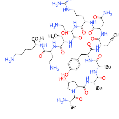 C#CC[C@H](NC(=O)[C@H](Cc1ccc(O)cc1)NC(=O)[C@@H](NC(=O)[C@@H](NC(=O)[C@@H]1C[C@@H](O)CN1C(=O)[C@@H](N)C(C)C)[C@@H](C)CC)[C@@H](C)CC)C(=O)N[C@@H](CC(N)=O)C(=O)N[C@@H](CCCNC(=N)N)C(=O)N[C@@H](CCN)C(=O)N[C@H](C(=O)N[C@H](CCN)C(=O)N[C@@H](CCCCN)C(=O)O)[C@@H](C)O